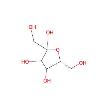 OC[C@H]1O[C@](O)(CO)C(O)C1O